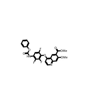 COC(=O)c1cc2c(Oc3c(F)cc(NC(=O)Oc4ccccc4)c(F)c3F)ccnc2cc1OC